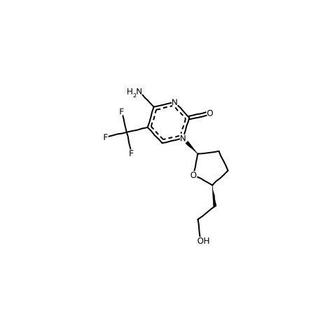 Nc1nc(=O)n([C@H]2CC[C@@H](CCO)O2)cc1C(F)(F)F